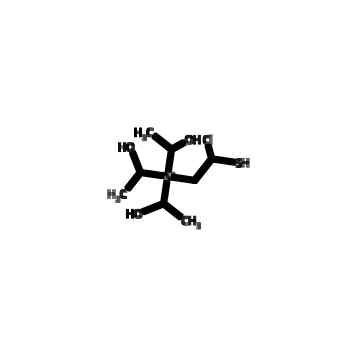 CC(O)[N+](CC(S)Cl)(C(C)O)C(C)O